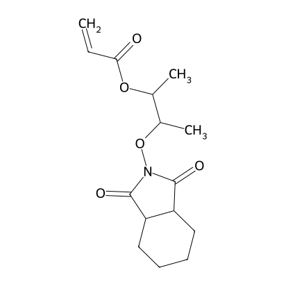 C=CC(=O)OC(C)C(C)ON1C(=O)C2CCCCC2C1=O